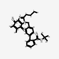 CCCCc1nc2c(n1Cc1ccc(-c3ccccc3C(=O)OC(C)(C)C)cc1)C(=O)C(C)=C(C)C2=O